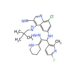 Cc1nc(F)ccc1[C@H](Nc1cc(Cl)c2ncc(C#N)c(NCC(C)(C)C)c2c1)/C(N=N)=C1\CCCCN1